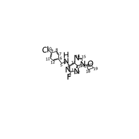 Fc1nc(NCc2ccc(Cl)cc2)c2ncn(C3CCO3)c2n1